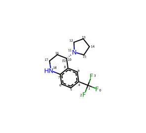 FC(F)(F)c1ccc2c(c1)[C@@H](N1CCCC1)CCN2